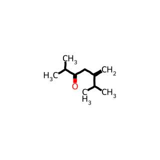 C=C(CC(=O)C(C)C)C(C)C